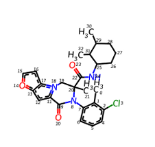 Cc1c(Cl)cccc1N1C(=O)c2cc3occc3n2CC1(C)C(=O)NC1CCCC(C)C1C